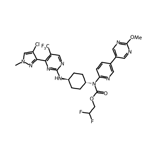 COc1ncc(-c2ccc(N(C(=O)OCC(F)F)[C@H]3CC[C@H](Nc4ncc(C(F)(F)F)c(-c5nn(C)cc5Cl)n4)CC3)nc2)cn1